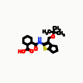 CC(C)(C)OCc1c(NC(=O)C2CCCCC2C(=O)O)sc2c1CCC2